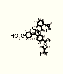 O=C(O)C1CC=C(c2nn(C(=O)c3c(Cl)cccc3C3CC3)c3c2CCC(C(=O)N2CC(C(F)F)C2)C3)CC1